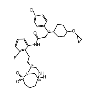 O=C([CH][C@@H](c1ccc(Cl)cc1)C1CCC(OC2CC2)CC1)Nc1cccc(F)c1CC[C@H]1CN[C@@H]2CCCS(=O)(=O)N1C2